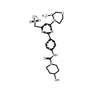 C[C@H]1COCCN1c1cc(CS(C)(=O)=O)nc(-c2ccc(NC(=O)N3CCC(O)CC3)cc2)n1